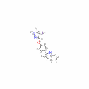 Cc1cc2ccccc2nc1-c1ccc(OCc2nn(C)c(C)c2I)cc1